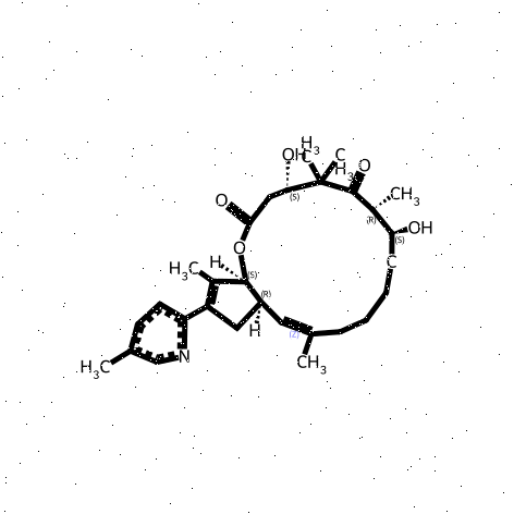 CC1=C(c2ccc(C)cn2)C[C@@H]2/C=C(/C)CCCC[C@H](O)[C@@H](C)C(=O)C(C)(C)[C@@H](O)CC(=O)O[C@H]12